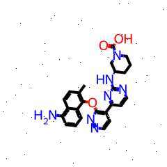 Cc1ccc2c(N)cccc2c1Oc1nnccc1-c1ccnc(N[C@H]2CCCN(C(=O)O)C2)n1